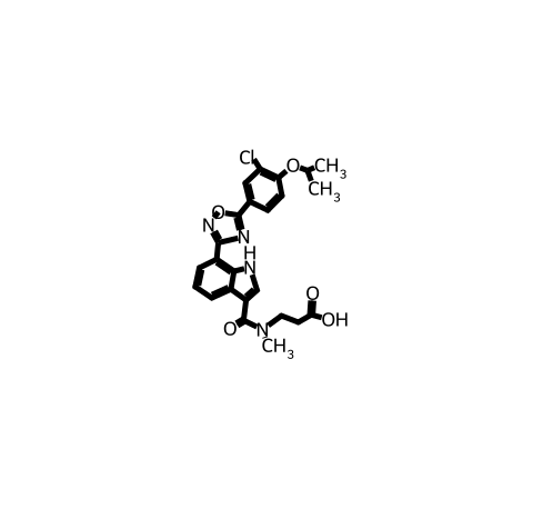 CC(C)Oc1ccc(-c2nc(-c3cccc4c(C(=O)N(C)CCC(=O)O)c[nH]c34)no2)cc1Cl